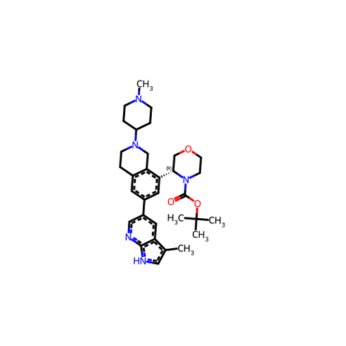 Cc1c[nH]c2ncc(-c3cc4c(c([C@@H]5COCCN5C(=O)OC(C)(C)C)c3)CN(C3CCN(C)CC3)CC4)cc12